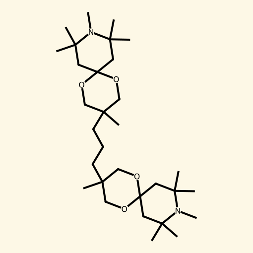 CN1C(C)(C)CC2(CC1(C)C)OCC(C)(CCCC1(C)COC3(CC(C)(C)N(C)C(C)(C)C3)OC1)CO2